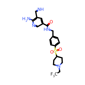 N=Cc1cc(C(=O)NCc2ccc(S(=O)(=O)C3CCN(CC(F)(F)F)CC3)cc2)cnc1N